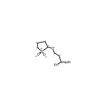 CCCC(CC)CCOC1CCCS1(=O)=O